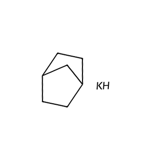 C1CC2CCC1C2.[KH]